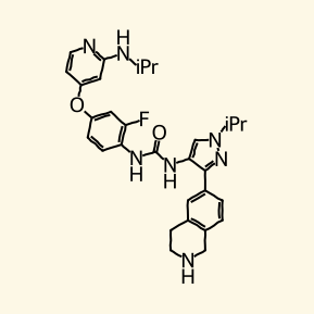 CC(C)Nc1cc(Oc2ccc(NC(=O)Nc3cn(C(C)C)nc3-c3ccc4c(c3)CCNC4)c(F)c2)ccn1